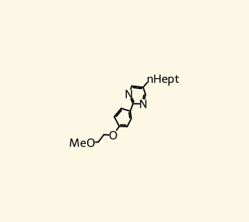 CCCCCCCc1cnc(-c2ccc(OCCOC)cc2)nc1